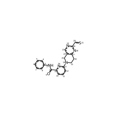 O=C(Nc1ccccc1)c1cccc(N2CCc3nc(C=S)ncc3C2)n1